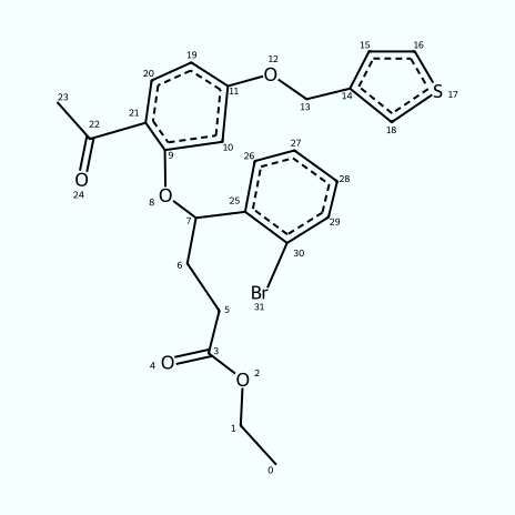 CCOC(=O)CCC(Oc1cc(OCc2ccsc2)ccc1C(C)=O)c1ccccc1Br